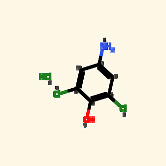 Cl.Nc1cc(Cl)c(O)c(Cl)c1